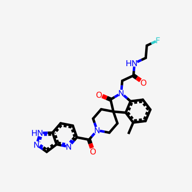 Cc1cccc2c1C1(CCN(C(=O)c3ccc4[nH]ncc4n3)CC1)C(=O)N2CC(=O)NCCF